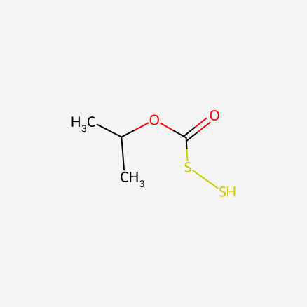 CC(C)OC(=O)SS